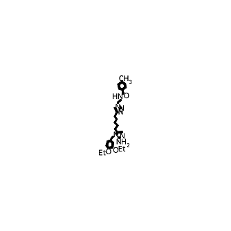 CCOc1ccc(Cn2c(CCCCCc3cn(CCNC(=O)c4ccc(C)cc4)nn3)cnc2N)cc1OCC